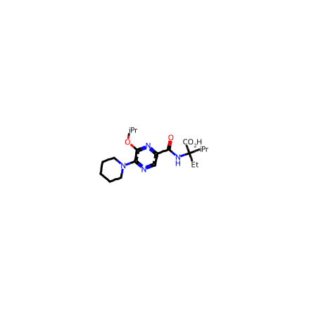 CCC(NC(=O)c1cnc(N2CCCCC2)c(OC(C)C)n1)(C(=O)O)C(C)C